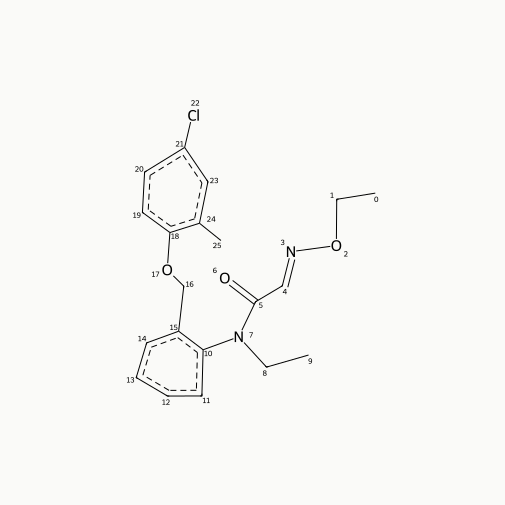 CCON=CC(=O)N(CC)c1ccccc1COc1ccc(Cl)cc1C